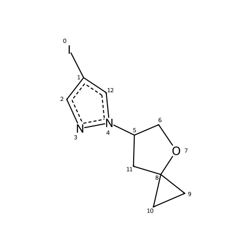 Ic1cnn(C2COC3(CC3)C2)c1